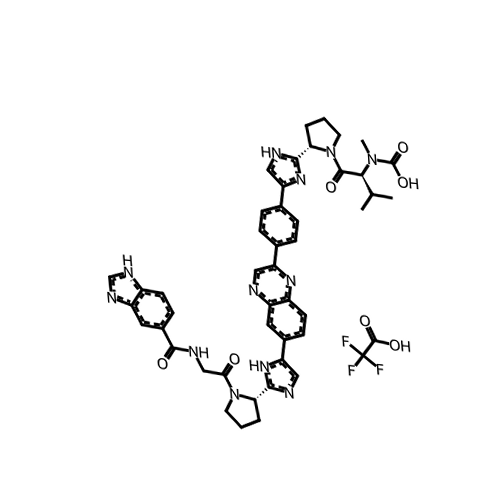 CC(C)[C@@H](C(=O)N1CCC[C@H]1c1nc(-c2ccc(-c3cnc4cc(-c5cnc([C@@H]6CCCN6C(=O)CNC(=O)c6ccc7[nH]cnc7c6)[nH]5)ccc4n3)cc2)c[nH]1)N(C)C(=O)O.O=C(O)C(F)(F)F